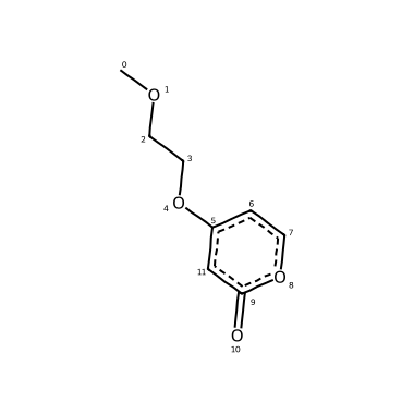 COCCOc1ccoc(=O)c1